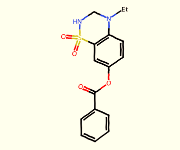 CCN1CNS(=O)(=O)c2cc(OC(=O)c3ccccc3)ccc21